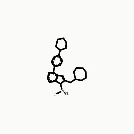 [Cl][Zr]([Cl])[CH]1C(CC2CCCCCC2)=Cc2c(-c3ccc(C4CCCCC4)cc3)cccc21